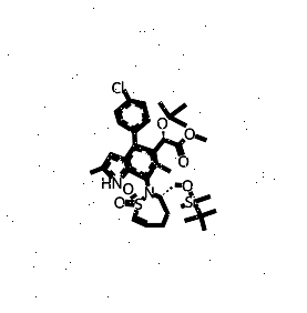 COC(=O)[C@@H](OC(C)(C)C)c1c(C)c(N2[C@H](CO[Si](C)(C)C(C)(C)C)CCC=CS2(=O)=O)c2[nH]c(C)cc2c1-c1ccc(Cl)cc1